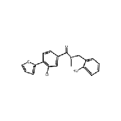 CN(Cc1ccccc1O)C(=O)c1ccc(-c2ccco2)c(Cl)c1